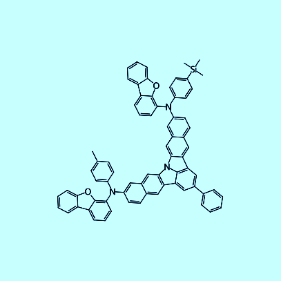 Cc1ccc(N(c2ccc3cc4c5cc(-c6ccccc6)cc6c7cc8ccc(N(c9ccc([Si](C)(C)C)cc9)c9cccc%10c9oc9ccccc9%10)cc8cc7n(c4cc3c2)c56)c2cccc3c2oc2ccccc23)cc1